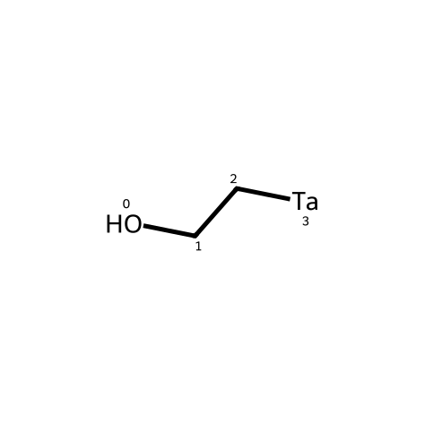 OC[CH2][Ta]